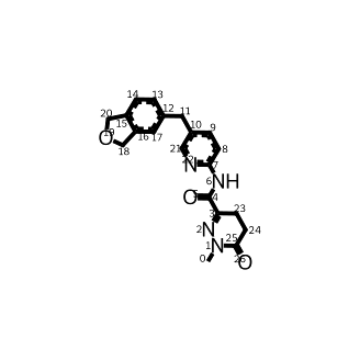 CN1N=C(C(=O)Nc2ccc(Cc3ccc4c(c3)COC4)cn2)CCC1=O